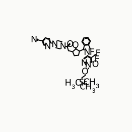 C[Si](C)(C)CCOCn1ncc(N2Cc3ccccc3C2C2CCC(CC(=O)N3CCN(c4ccc(C#N)cn4)CC3)C2=O)c(C(F)(F)F)c1=O